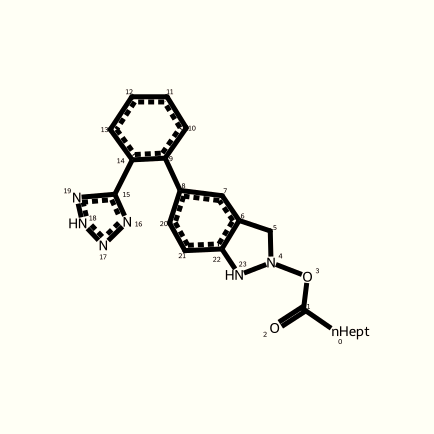 CCCCCCCC(=O)ON1Cc2cc(-c3ccccc3-c3nn[nH]n3)ccc2N1